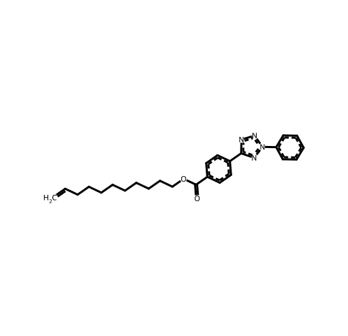 C=CCCCCCCCCCOC(=O)c1ccc(-c2nnn(-c3ccccc3)n2)cc1